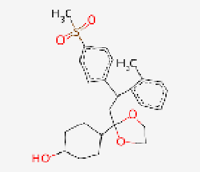 Cc1ccccc1C(CC1(C2CCC(O)CC2)OCCO1)c1ccc(S(C)(=O)=O)cc1